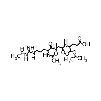 CPNC(=N)NCCC[C@H](NC(C)=O)C(=O)NCC(=O)NC(CCC(=O)O)C(=O)OC(C)C